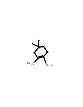 CC1(C)CCC(C(=O)O)=C(C(=O)O)C1